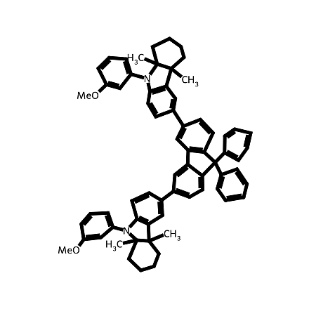 COc1cccc(N2c3ccc(-c4ccc5c(c4)-c4cc(-c6ccc7c(c6)C6(C)CCCCC6(C)N7c6cccc(OC)c6)ccc4C5(c4ccccc4)c4ccccc4)cc3C3(C)CCCCC23C)c1